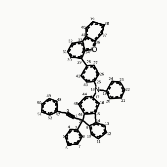 C(#CC1(c2ccccc2)c2ccccc2-c2cc(N(c3ccccc3)c3ccc(-c4cccc5c4oc4ccccc45)cc3)ccc21)c1ccccc1